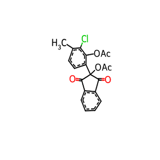 CC(=O)Oc1c(C2(OC(C)=O)C(=O)c3ccccc3C2=O)ccc(C)c1Cl